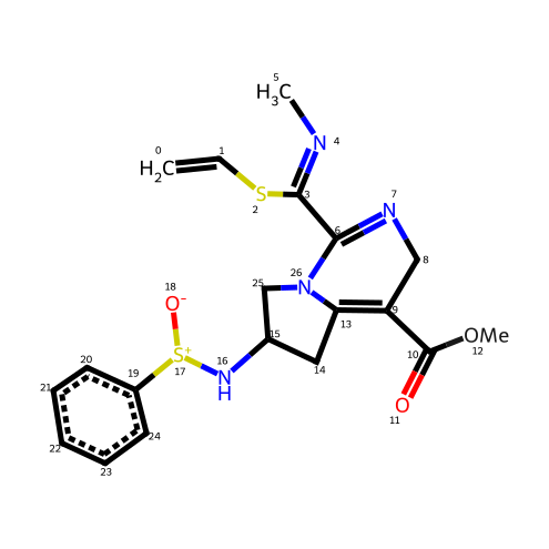 C=CS/C(=N\C)C1=NCC(C(=O)OC)=C2CC(N[S+]([O-])c3ccccc3)CN12